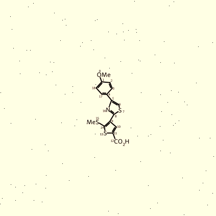 COc1ccc(-c2csc(-c3cc(C(=O)O)sc3SC)n2)cc1